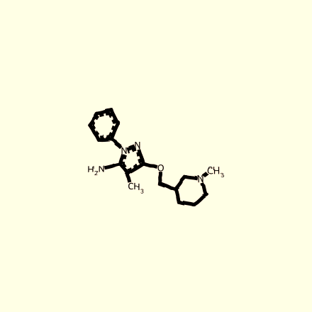 Cc1c(OCC2CCCN(C)C2)nn(-c2ccccc2)c1N